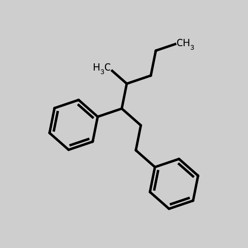 CCCC(C)C(CCc1ccccc1)c1ccccc1